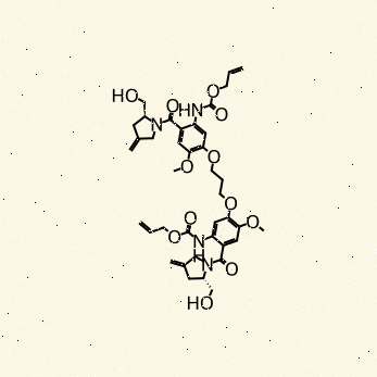 C=CCOC(=O)Nc1cc(OCCCOc2cc(NC(=O)OCC=C)c(C(=O)N3CC(=C)C[C@H]3CO)cc2OC)c(OC)cc1C(=O)N1CC(=C)C[C@H]1CO